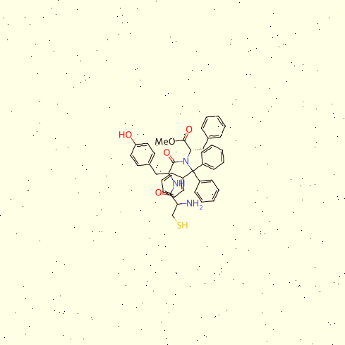 COC(=O)[C@H](Cc1ccccc1)N(C(=O)C(Cc1ccc(O)cc1)NC(=O)C(N)CS)C(c1ccccc1)(c1ccccc1)c1ccccc1